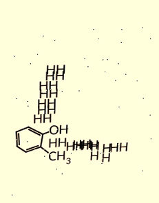 Cc1ccccc1O.[HH].[HH].[HH].[HH].[HH].[HH].[HH].[HH].[HH].[HH].[HH].[HH].[HH].[HH]